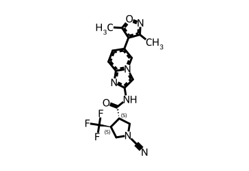 Cc1noc(C)c1-c1ccc2nc(NC(=O)[C@@H]3CN(C#N)C[C@H]3C(F)(F)F)cn2c1